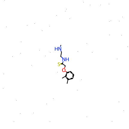 CNCCNC(=S)COc1cccc(C)c1C